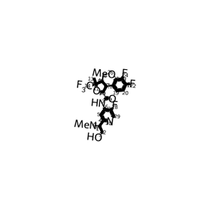 CN[C@@H](CO)c1cc(NC(=O)[C@@H]2O[C@@](C)(C(F)(F)F)[C@@H](C)[C@H]2c2ccc(F)c(F)c2OC)c(F)cn1